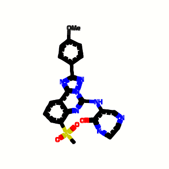 COc1ccc(-c2nc3c4cccc(S(C)(=O)=O)c4nc(Nc4cnccnc4=O)n3n2)cc1